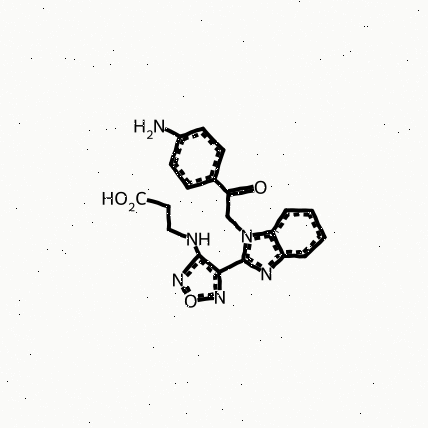 Nc1ccc(C(=O)Cn2c(-c3nonc3NCCC(=O)O)nc3ccccc32)cc1